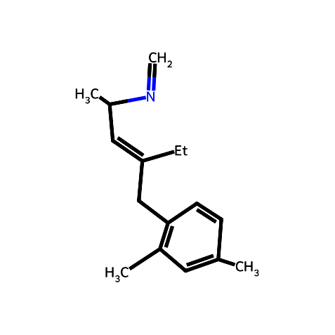 C=NC(C)/C=C(\CC)Cc1ccc(C)cc1C